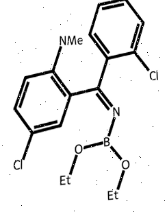 CCOB(N=C(c1ccccc1Cl)c1cc(Cl)ccc1NC)OCC